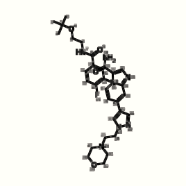 CC(C)(C)OCCNC(=O)c1ccc(F)c([N+]23C=CC(c4cnn(CCN5CCOCC5)c4)=CC2=NC=C3C(N)=O)c1